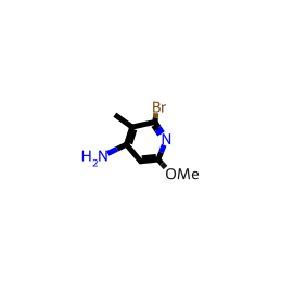 COc1cc(N)c(C)c(Br)n1